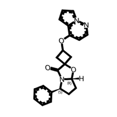 O=C1N2[C@@H](CC[C@H]2c2ccccc2)OC12CC(Oc1ccnn3cccc13)C2